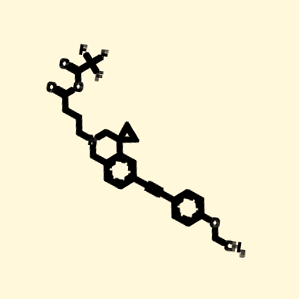 CCOc1ccc(C#Cc2ccc3c(c2)C2(CC2)CN(CCCC(=O)OC(=O)C(F)(F)F)C3)cc1